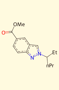 CCCC(CC)n1cc2cc(C(=O)OC)ccc2n1